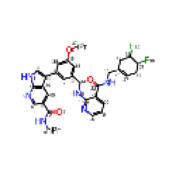 CCCNC(=O)c1cnc2[nH]cc(-c3cc(CNc4ncccc4C(=O)NCC4=CC[C@H](F)C(F)C4)cc(OC(C)C)c3)c2c1